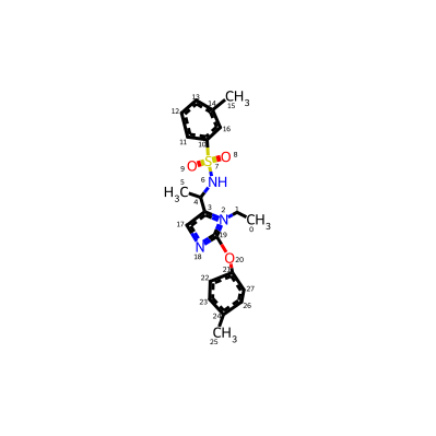 CCn1c(C(C)NS(=O)(=O)c2cccc(C)c2)cnc1Oc1ccc(C)cc1